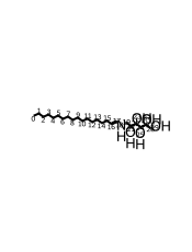 CCCCCCCCCCCCCCCCC=CNC[C@H](O)[C@@H](O)[C@H](O)[C@H](O)CO